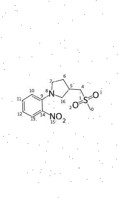 CS(=O)(=O)CC1CCN(c2ccccc2[N+](=O)[O-])C1